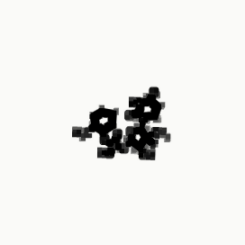 Cc1ccccc1OP(=O)(O)O[C@H]1O[C@@H](n2ccc(=O)[nH]c2=O)[C@](C)(F)[C@@H]1O